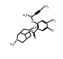 CC#C[C@H](C)Oc1cc(N)c(Cl)cc1C(=O)NC1C2CN(C)CC1CN(C)C2